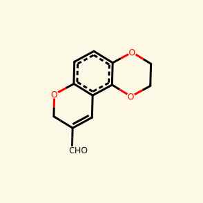 O=CC1=Cc2c(ccc3c2OCCO3)OC1